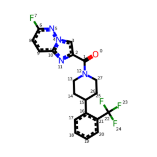 O=C(c1cn2nc(F)ccc2n1)N1CCC(c2ccccc2C(F)(F)F)CC1